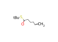 C=CCCCC(=O)SC(C)(C)C